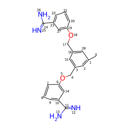 Cc1cc(COc2cccc(C(=N)N)c2)cc(COc2cccc(C(=N)N)c2)c1